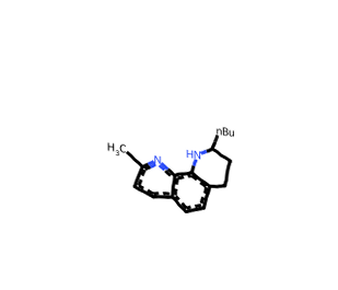 CCCCC1CCc2ccc3ccc(C)nc3c2N1